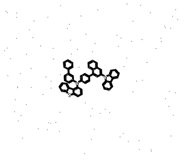 c1ccc(-c2cccc(N(c3ccc(-c4cc(-n5c6ccccc6c6ccccc65)cc5ccccc45)cc3)c3cccc4sc5ccccc5c34)c2)cc1